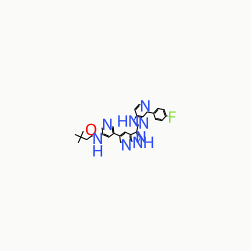 CC(C)(C)CC(=O)Nc1cncc(-c2cnc3[nH]nc(-c4nc5c(-c6ccc(F)cc6)nccc5[nH]4)c3c2)c1